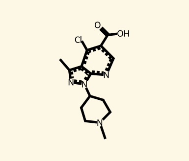 Cc1nn(C2CCN(C)CC2)c2ncc(C(=O)O)c(Cl)c12